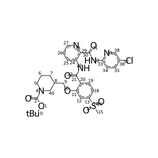 CC(C)(C)OC(=O)N1CCCC(COc2cc(S(C)(=O)=O)ccc2C(=O)Nc2cccnc2C(=O)Nc2ccc(Cl)cn2)C1